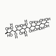 C=C(O)C(O)C(O)C(O)C(O)C(O)C(O)C(O)C(O)C(O)C(O)C(O)C(O)C(O)C(O)C(O)C(C)O